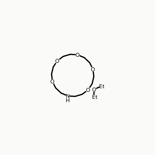 C1COCCOCCOCCOCCOCCN1.CCOCC